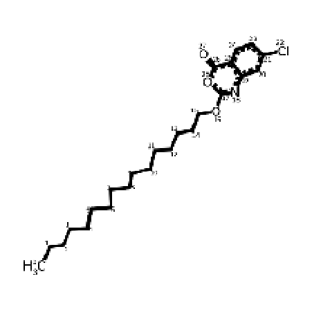 CCCCCCCCCCCCCCCCOc1nc2cc(Cl)ccc2c(=O)o1